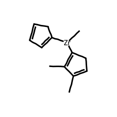 CC1=CC[C]([Zr]([CH3])[C]2=CC=CC2)=C1C